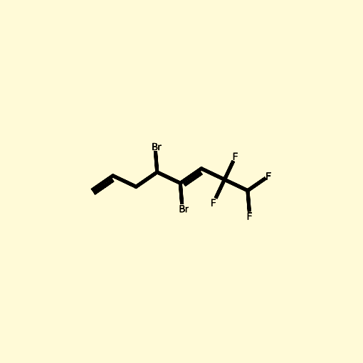 C=CCC(Br)C(Br)=CC(F)(F)C(F)F